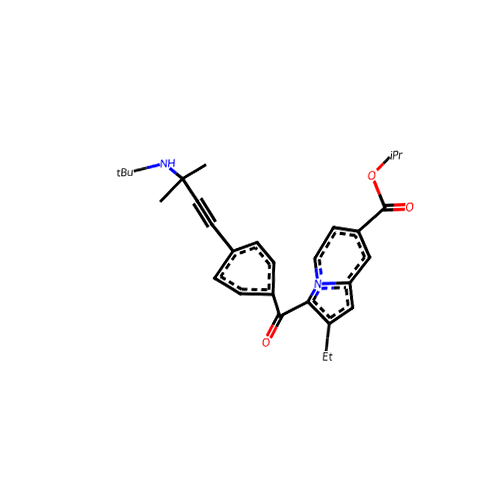 CCc1cc2cc(C(=O)OC(C)C)ccn2c1C(=O)c1ccc(C#CC(C)(C)NC(C)(C)C)cc1